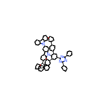 c1ccc(-c2ccc(-c3cc(-c4nc(-c5ccccc5)nc(-c5ccccc5)n4)cc(-c4ccc(-c5ccccc5)cc4)c3-n3c4ccc(-n5c6ccccc6c6ccccc65)cc4c4ccc(C5c6ccccc6-c6ccccc65)cc43)cc2)cc1